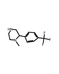 CN1CCNCC1c1ccc(C(F)(F)F)cc1